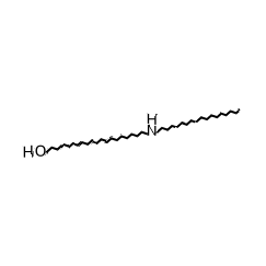 CCCCCCCCCCCCCCCCCCNCCCCCCCCCCCCCCCCCCCCCO